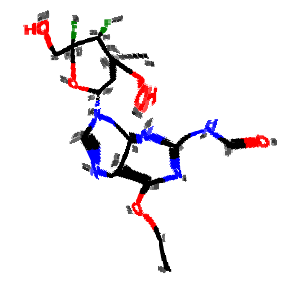 CCOc1nc(NC=O)nc2c1ncn2[C@@H]1O[C@](F)(CO)[C@@H](F)[C@@]1(C)O